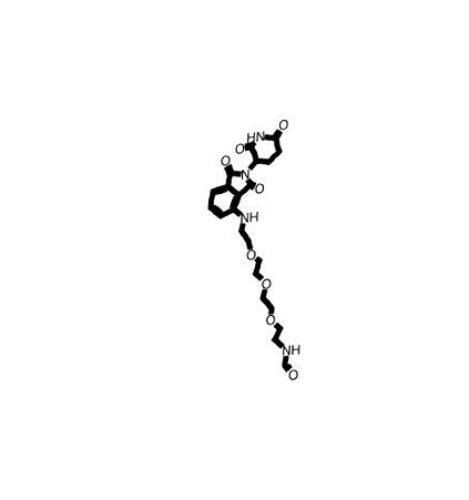 O=CNCCOCCOCCOCCNc1cccc2c1C(=O)N(C1CCC(=O)NC1=O)C2=O